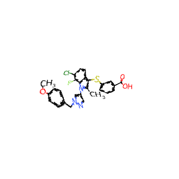 COc1ccc(Cn2cc(-n3c(C)c(Sc4cccc(C(=O)O)c4)c4ccc(Cl)c(F)c43)cn2)cc1